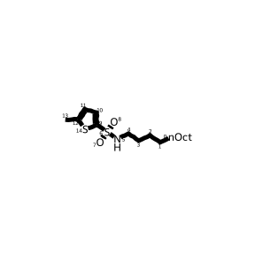 CCCCCCCCCCCCNS(=O)(=O)c1ccc(C)s1